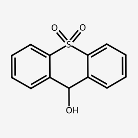 O=S1(=O)c2ccccc2C(O)c2ccccc21